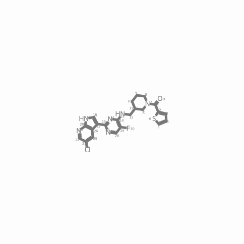 O=C(c1cccs1)N1CCCC(CNc2nc(-c3c[nH]c4ncc(Cl)cc34)ncc2F)C1